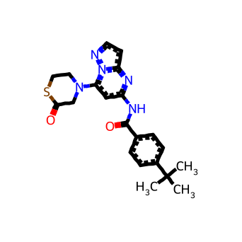 CC(C)(C)c1ccc(C(=O)Nc2cc(N3CCSC(=O)C3)n3nccc3n2)cc1